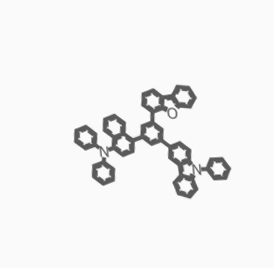 c1ccc(N(c2ccccc2)c2ccc(-c3cc(-c4ccc5c(c4)c4ccccc4n5-c4ccccc4)cc(-c4cccc5c4oc4ccccc45)c3)c3ccccc23)cc1